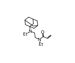 C=CC(=O)N(CC)CCN(CC)C12CC3CC(CC(C3)C1)C2